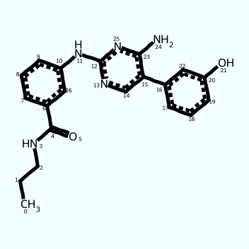 CCCNC(=O)c1cccc(Nc2ncc(-c3cccc(O)c3)c(N)n2)c1